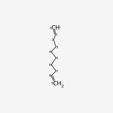 [CH]=CCCCCCCC=C